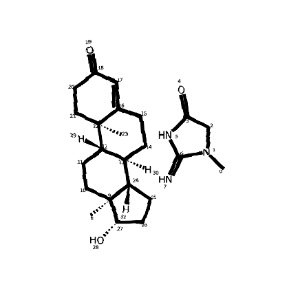 CN1CC(=O)NC1=N.C[C@]12CC[C@H]3[C@@H](CCC4=CC(=O)CC[C@@]43C)[C@@H]1CC[C@@H]2O